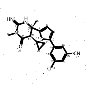 CN1C(=N)N[C@](C)(c2ccc(-c3cc(Cl)cc(C#N)c3)s2)[C@@H](C2CC2)C1=O